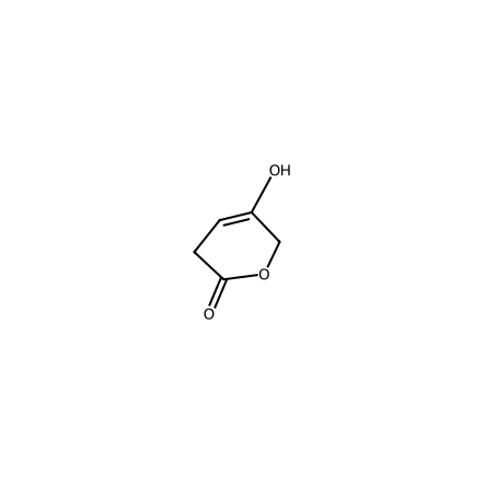 O=C1CC=C(O)CO1